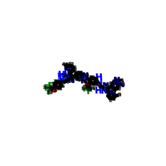 Cc1cccc(-c2[nH]c(CNc3ccc(-c4nc5ccc(-c6nc(CNc7ccc(OC(F)(F)F)cc7)[nH]c6-c6cccc(C)n6)cn5n4)c(OC(F)(F)F)c3)nc2-c2ccc3ncnn3c2)n1